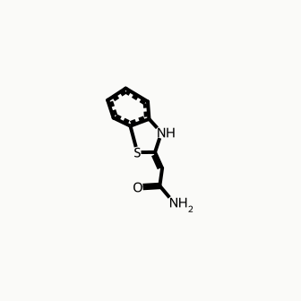 NC(=O)C=C1Nc2ccccc2S1